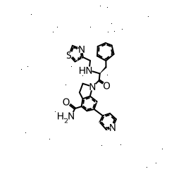 NC(=O)c1cc(-c2ccncc2)cc2c1CCN2C(=O)[C@H](Cc1ccccc1)NCc1cscn1